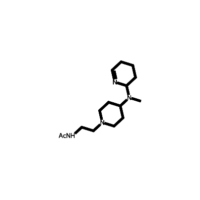 CC(=O)NCCN1CCC(N(C)C2CCCC=N2)CC1